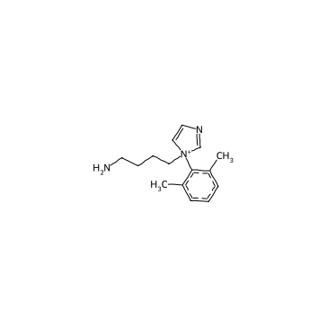 Cc1cccc(C)c1[N+]1(CCCCN)C=CN=C1